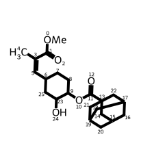 COC(=O)C(C)=CC1CCC(OC(=O)C23CC4CC(CC(C4)C2)C3)C(O)C1